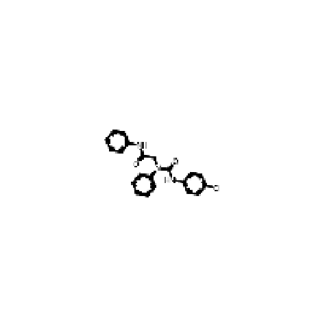 O=C(CN(C(=O)Nc1ccc(Cl)cc1)c1ccccc1)Nc1ccccc1